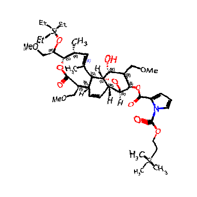 CC[Si](CC)(CC)O[C@H](COC)[C@H]1OC(=O)[C@H](COC)[C@H]2C=C[C@H]3[C@H]4O[C@]2(/C(C)=C/[C@H]1C)[C@@H]3[C@H](O)[C@@H](COC)[C@H]4OC(=O)c1cccn1C(=O)OCC[Si](C)(C)C